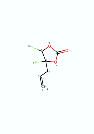 C=CCC1(F)OC(=O)OC1F